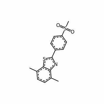 Cc1ccc(C)c2sc(-c3ccc(S(C)(=O)=O)cc3)nc12